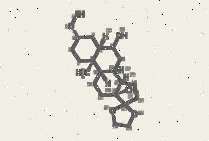 C[C@]12CC[C@H](OS)C[C@@H]1C(O)C[C@@H]1[C@@H]2CC[C@@]2(C)[C@H]1CCC21OCCO1